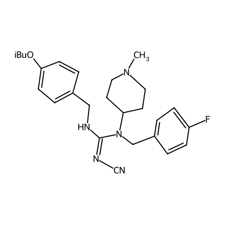 CC(C)COc1ccc(CNC(=NC#N)N(Cc2ccc(F)cc2)C2CCN(C)CC2)cc1